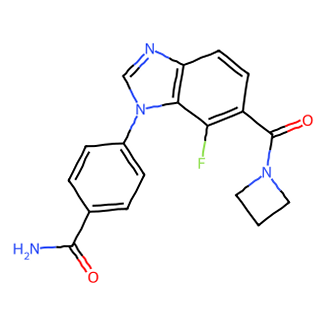 NC(=O)c1ccc(-n2cnc3ccc(C(=O)N4CCC4)c(F)c32)cc1